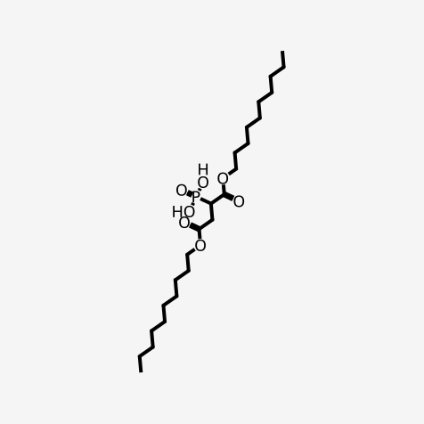 CCCCCCCCCCOC(=O)CC(C(=O)OCCCCCCCCCC)P(=O)(O)O